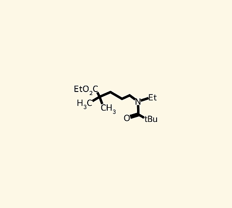 CCOC(=O)C(C)(C)CCCN(CC)C(=O)C(C)(C)C